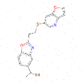 CC(S)c1ccc2oc(CCSc3cnc4ccoc4c3)nc2c1